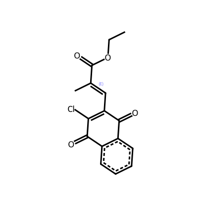 CCOC(=O)/C(C)=C/C1=C(Cl)C(=O)c2ccccc2C1=O